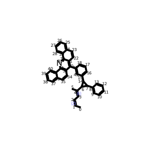 C/C=C\C=C(/C)C1C(c2ccccc2)C1c1cccc(-c2c3ccc4ccccc4c3nc3c2ccc2ccccc23)c1